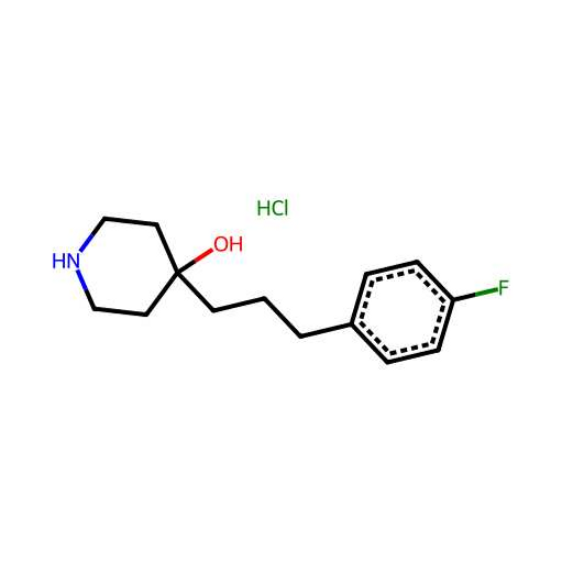 Cl.OC1(CCCc2ccc(F)cc2)CCNCC1